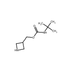 CC(C)(C)NC(=O)OCC1CNC1